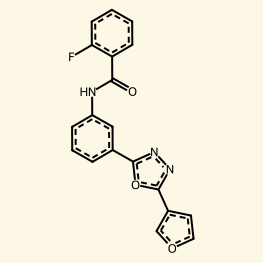 O=C(Nc1cccc(-c2nnc(-c3ccoc3)o2)c1)c1ccccc1F